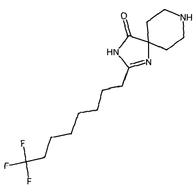 O=C1NC(CCCCCCCC(F)(F)F)=NC12CCNCC2